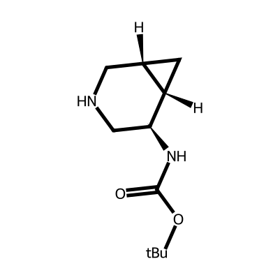 CC(C)(C)OC(=O)N[C@H]1CNC[C@@H]2C[C@@H]21